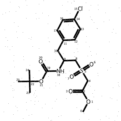 COC(=O)CS(=O)(=O)CC(Cc1ccc(Cl)cc1)NC(=O)OC(C)(C)C